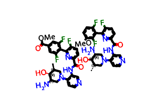 COC(=O)c1cc(F)c(-c2nc(C(=O)Nc3cnccc3N3C[C@@H](N)[C@H](O)[C@@H](C)C3)ccc2F)c(F)c1.COc1ccc(F)c(-c2nc(C(=O)Nc3cnccc3N3C[C@@H](N)[C@H](O)[C@@H](C)C3)ccc2F)c1F